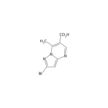 Cc1c(C(=O)O)cnc2cc(Br)nn12